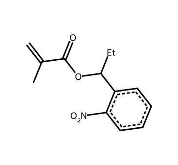 C=C(C)C(=O)OC(CC)c1ccccc1[N+](=O)[O-]